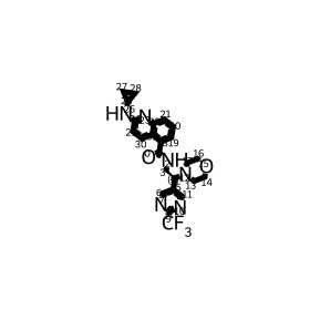 O=C(NC[C@H](c1cnc(C(F)(F)F)nc1)N1CCOCC1)c1cccc2nc(NC3CC3)ccc12